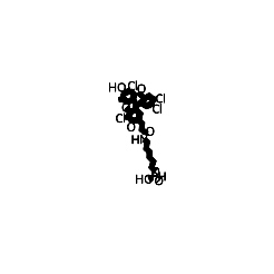 Cc1c(O)c(Cl)cc2c(-c3cc(Cl)c(Cl)cc3C=O)c3cc(CCC(=O)NCCCCCCO[PH](=O)O)c(=O)c(Cl)c-3oc12